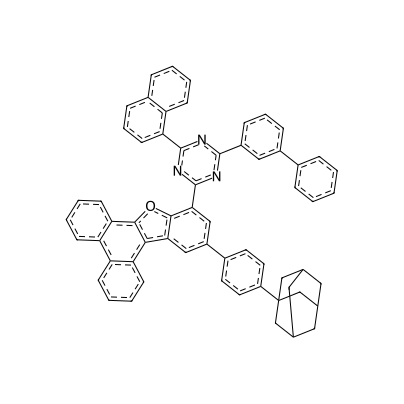 c1ccc(-c2cccc(-c3nc(-c4cccc5ccccc45)nc(-c4cc(-c5ccc(C67CC8CC(CC(C8)C6)C7)cc5)cc5c4oc4c6ccccc6c6ccccc6c54)n3)c2)cc1